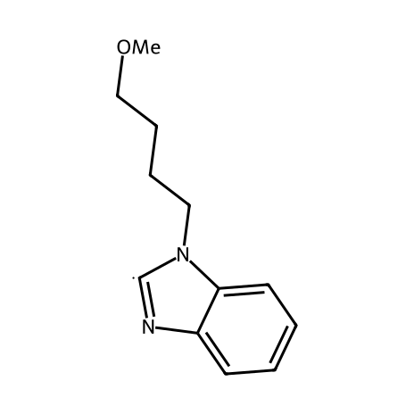 COCCCCn1[c]nc2ccccc21